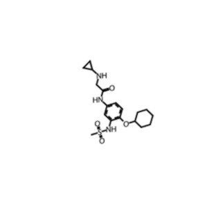 CS(=O)(=O)Nc1cc(NC(=O)CNC2CC2)ccc1OC1CCCCC1